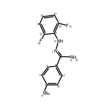 CC(C)(C)c1ccc(/C(N)=N/Nc2c(F)cccc2F)cc1